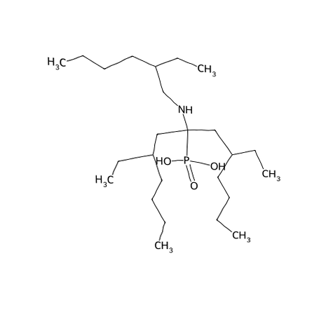 CCCCC(CC)CNC(CC(CC)CCCC)(CC(CC)CCCC)P(=O)(O)O